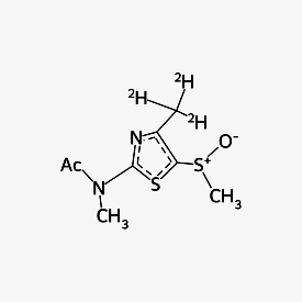 [2H]C([2H])([2H])c1nc(N(C)C(C)=O)sc1[S+](C)[O-]